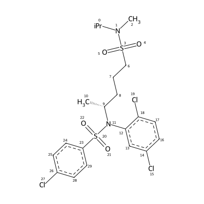 CC(C)N(C)S(=O)(=O)CCC[C@@H](C)N(c1cc(Cl)ccc1Cl)S(=O)(=O)c1ccc(Cl)cc1